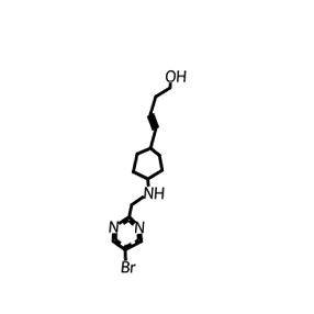 OCCC#CC1CCC(NCc2ncc(Br)cn2)CC1